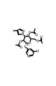 CC(=O)OCC1O[C@H](Sc2cncc(Cl)c2)C(OC(C)=O)C(n2cc(I)cn2)[C@H]1OC(C)=O